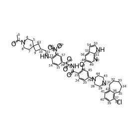 CC(=O)N1CCC2(CC1)CC(CNc1ccc(S(=O)(=O)NC(=O)c3ccc(N4CCN([C@@H]5CCCCc6c(Cl)cccc65)CC4)cc3Oc3cnc4[nH]ccc4c3)cc1[N+](=O)[O-])C2